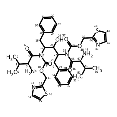 CC(C)[C@H](N)C(=O)N(C(=O)OCc1nccs1)C(Cc1ccccc1)C(O)C(Cc1ccccc1)N(C(=O)OCc1nccs1)C(=O)[C@@H](N)C(C)C